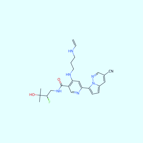 C=CNCCCNc1cc(-c2ccc3cc(C#N)cnn23)ncc1C(=O)NC[C@@H](F)C(C)(C)O